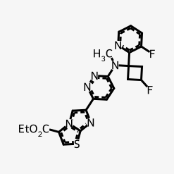 CCOC(=O)c1csc2nc(-c3ccc(N(C)C4(c5ncccc5F)CC(F)C4)nn3)cn12